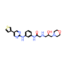 O=C(CNCC(O)CN1CCOCC1)Nc1cccc(Nc2ncc(-c3ccsc3)cn2)c1